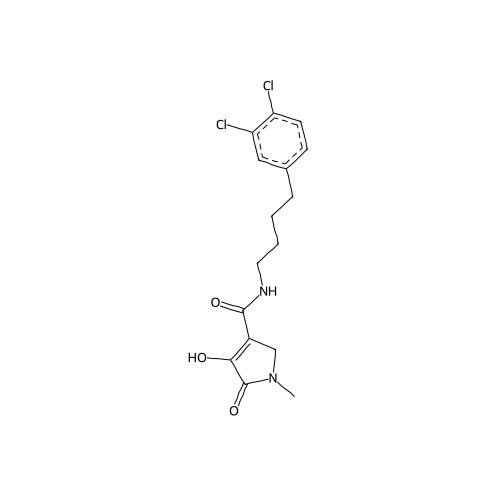 CN1CC(C(=O)NCCCCc2ccc(Cl)c(Cl)c2)=C(O)C1=O